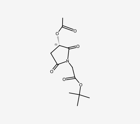 CC(=O)O[C@H]1CC(=O)N(CC(=O)OC(C)(C)C)C1=O